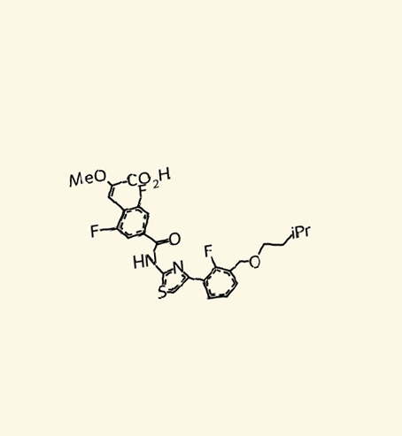 CO/C(=C/c1c(F)cc(C(=O)Nc2nc(-c3cccc(COCCC(C)C)c3F)cs2)cc1F)C(=O)O